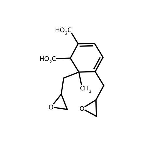 CC1(CC2CO2)C(CC2CO2)=CC=C(C(=O)O)C1C(=O)O